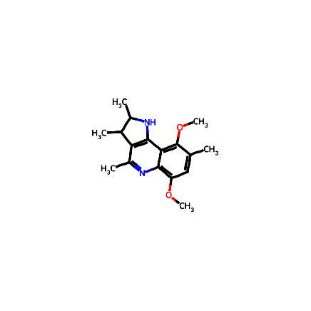 COc1cc(C)c(OC)c2c3c(c(C)nc12)C(C)C(C)N3